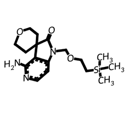 C[Si](C)(C)CCOCN1C(=O)C2(CCOCC2)c2c1ccnc2N